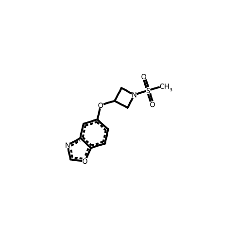 CS(=O)(=O)N1CC(Oc2ccc3ocnc3c2)C1